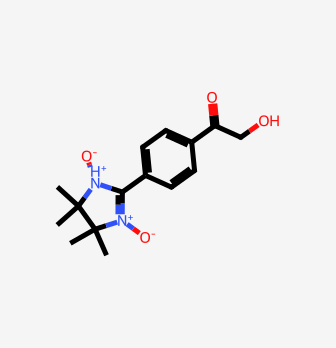 CC1(C)[N+]([O-])=C(c2ccc(C(=O)CO)cc2)[NH+]([O-])C1(C)C